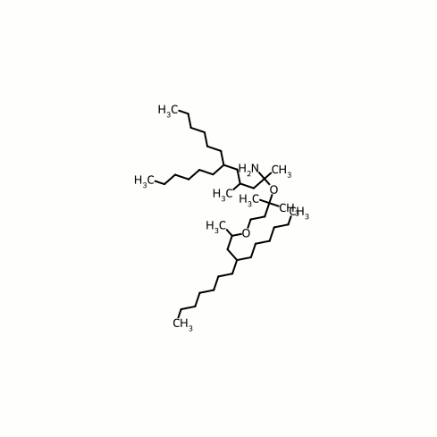 CCCCCCCC(CCCCCC)CC(C)OCCC(C)(C)OC(C)(N)CC(C)CC(CCCCCC)CCCCCC